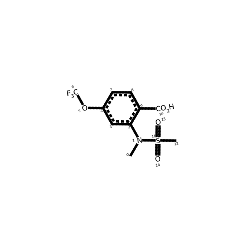 CN(c1cc(OC(F)(F)F)ccc1C(=O)O)S(C)(=O)=O